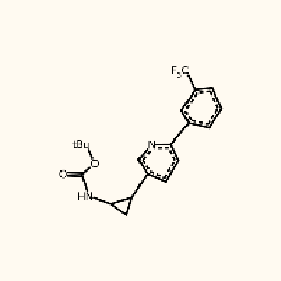 CC(C)(C)OC(=O)NC1CC1c1ccc(-c2cccc(C(F)(F)F)c2)nc1